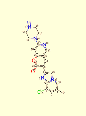 Cc1cc(Cl)c2nc(-c3cc4cnc(N5CCNCC5)cc4oc3=O)cn2c1